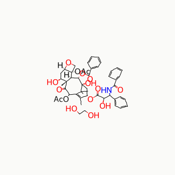 CC(=O)O[C@H]1C(=O)[C@@]2(C)[C@H]([C@H](OC(=O)c3ccccc3)[C@]3(O)C[C@H](OC(=O)[C@H](O)[C@@H](NC(=O)c4ccccc4)c4ccccc4)C(C)=C1C3(C)C)[C@]1(OC(C)=O)CO[C@@H]1C[C@@H]2O.OCCO